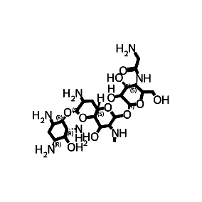 CNC1C(O[C@H]2OC(CO)[C@@H](NC(=O)CN)[C@H](O)C2O)O[C@H]2CC(N)[C@@H](O[C@@H]3C(N)C[C@@H](N)C(O)[C@H]3N)OC2C1O